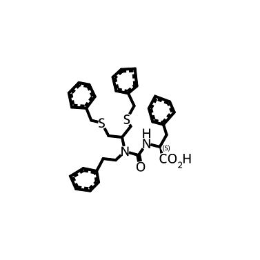 O=C(O)[C@H](Cc1ccccc1)NC(=O)N(CCc1ccccc1)C(CSCc1ccccc1)CSCc1ccccc1